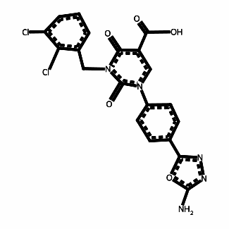 Nc1nnc(-c2ccc(-n3cc(C(=O)O)c(=O)n(Cc4cccc(Cl)c4Cl)c3=O)cc2)o1